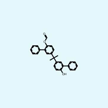 CC(C)(c1ccc(O)c(-c2ccccc2)c1)c1ccc(OC=O)c(-c2ccccc2)c1